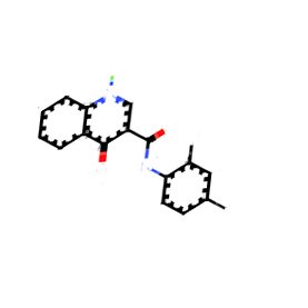 CC(C)c1ccc(NC(=O)c2cn(F)c3ccccc3c2=O)c(C(F)(F)F)c1